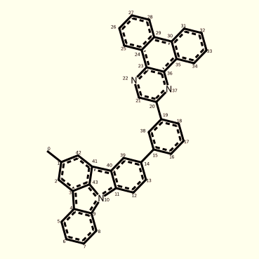 Cc1cc2c3ccccc3n3c4ccc(-c5cccc(-c6cnc7c8ccccc8c8ccccc8c7n6)c5)cc4c(c1)c23